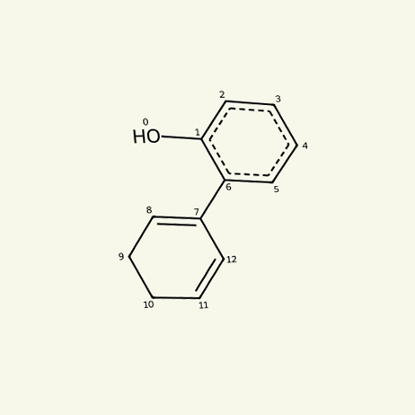 Oc1ccccc1C1=CCCC=C1